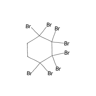 BrC1(Br)CCC(Br)(Br)C(Br)(Br)C1(Br)Br